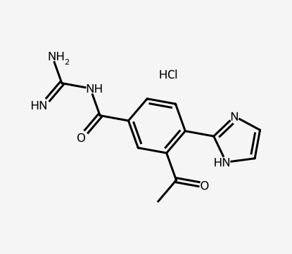 CC(=O)c1cc(C(=O)NC(=N)N)ccc1-c1ncc[nH]1.Cl